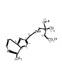 Cc1nccc2cc(CNC[C@](C)(O)CC(=O)O)cnc12